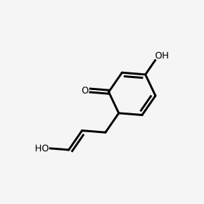 O=C1C=C(O)C=CC1CC=CO